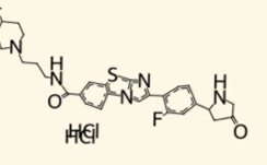 Cl.Cl.O=C1CNC(c2ccc(-c3cn4c(n3)sc3cc(C(=O)NCCCN5CCC(F)CC5)ccc34)c(F)c2)C1